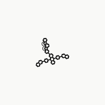 c1ccc2cc(-c3ccc(-c4c5ccccc5c(-c5ccc(-c6ccc7ccccc7c6)cc5)c5cc(-c6ccc7oc8c(ccc9c%10ccccc%10oc98)c7c6)ccc45)cc3)ccc2c1